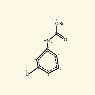 CC(C)COC(=O)Nc1c[c]cc(Cl)c1